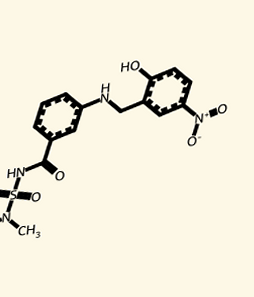 CN(C)S(=O)(=O)NC(=O)c1cccc(NCc2cc([N+](=O)[O-])ccc2O)c1